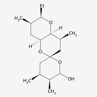 CC[C@H]1O[C@@H]2[C@H](C[C@H]1C)O[C@@]1(C[C@@H]2C)C[C@H](C)[C@H](C)C(O)O1